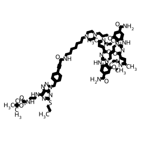 CCCSc1nc(NCCNC(=O)OC(C)(C)C)c2nnn(Cc3ccc(C#CC(=O)NCCCCCCCN4CCN(CCCOc5cc(C(N)=O)cc6[nH]/c(=N/C(=O)c7cc(C)nn7CC)n(C/C=C/Cn7/c(=N\C(=O)c8cc(C)nn8CC)[nH]c8cc(C(N)=O)cc(OC)c87)c56)CC4)cc3)c2n1